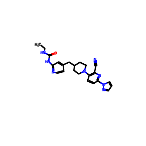 CCNC(=O)Nc1cc(CC2CCN(c3ccc(-n4cccn4)nc3C#N)CC2)ccn1